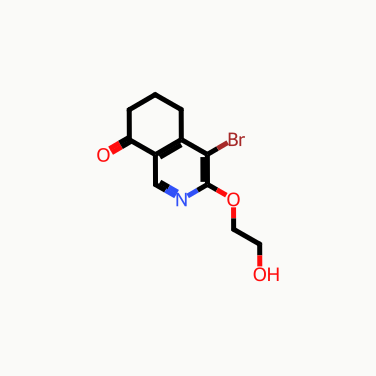 O=C1CCCc2c1cnc(OCCO)c2Br